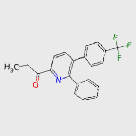 CCC(=O)c1ccc(-c2ccc(C(F)(F)F)cc2)c(-c2ccccc2)n1